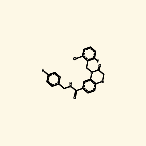 O=C(NCc1ccc(F)cc1)c1ccc2c(c1)N(Cc1c(F)cccc1Cl)C(=O)CS2